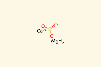 O=S([O-])[O-].[Ca+2].[MgH2]